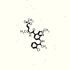 CC(Nc1ccc(C(=O)N[C@H](C)/C=C/S(C)(=O)=O)c2cn(C)nc12)c1ccccc1Cl